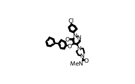 CNC(=O)N1CCN(c2cnn(-c3ccc(Cl)cc3)c(=O)c2Oc2ccc(-c3ccccc3)cc2)CC1